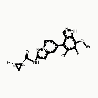 CC(C)Oc1c(F)c(Cl)c(-c2ccn3nc(NC(=O)[C@@H]4C[C@@H]4F)cc3c2)c2cn[nH]c12